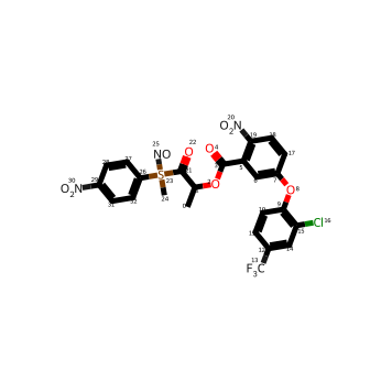 CC(OC(=O)c1cc(Oc2ccc(C(F)(F)F)cc2Cl)ccc1[N+](=O)[O-])C(=O)S(C)(N=O)c1ccc([N+](=O)[O-])cc1